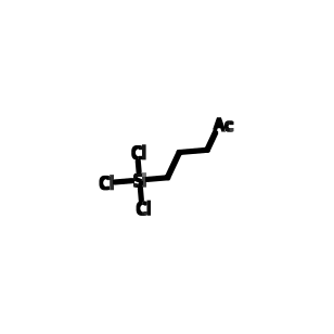 CC(=O)CCC[Si](Cl)(Cl)Cl